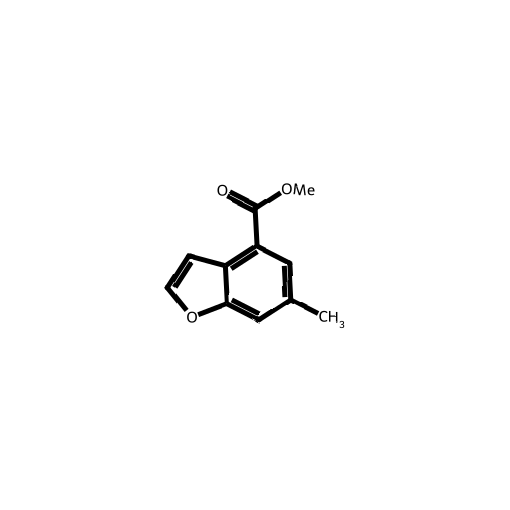 COC(=O)c1cc(C)cc2occc12